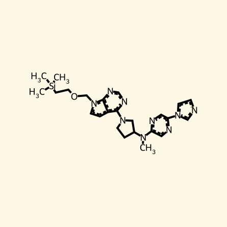 CN(c1cnc(-n2ccnc2)cn1)C1CCN(c2ncnc3c2ccn3COCC[Si](C)(C)C)C1